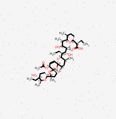 CC[C@@H]([C@@H](O)[C@@H](C)[C@@H](O)[C@H](C)[C@@H]1O[C@@H]([C@@H](CC)C(=O)O)CC[C@@H]1C)[C@H]1O[C@]2(C=C[C@@H](OC(C)=O)[C@]3(CC[C@@](C)([C@H]4CC[C@](O)(CC)[C@H](C)O4)O3)O2)[C@H](C)C[C@@H]1C